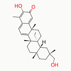 CC[C@@]12CC[C@@]3(C)C4=CC(=O)C(O)=C(C)C4=CC=C3[C@@]1(C)CC[C@@]1(C)CC[C@@](C)(CO)C[C@H]12